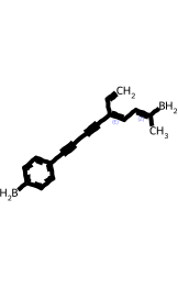 B/C(C)=C/C=C(/C#CC#Cc1ccc(B)cc1)C=C